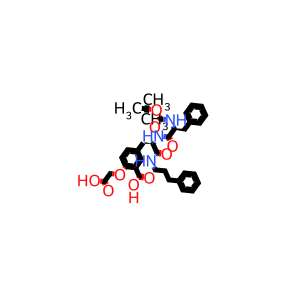 CC(C)(C)OC(=O)N[C@@H](Cc1ccccc1)C(=O)N[C@@H](Cc1ccc(OCC(=O)O)c(C(=O)O)c1)C(=O)NCCCc1ccccc1